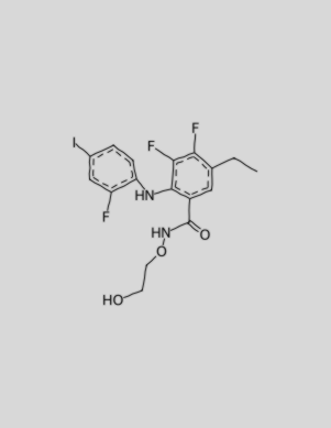 CCc1cc(C(=O)NOCCO)c(Nc2ccc(I)cc2F)c(F)c1F